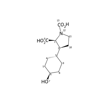 O=C(O)[C@@H]1[C@H]([C@H]2CC[C@H](O)CC2)CCN1C(=O)O